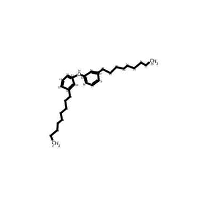 CCCCCCCCCc1cccc(Oc2cccc(CCCCCCCCC)c2)c1